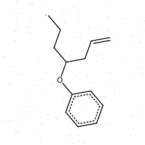 [CH2]CCC(CC=C)Oc1ccccc1